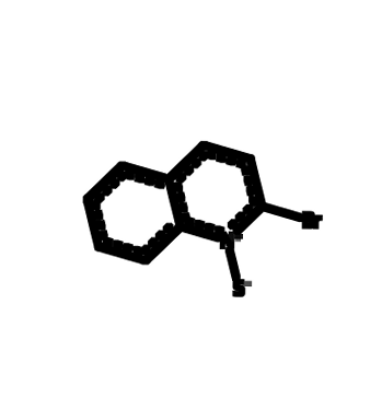 [S-][n+]1c(Br)ccc2ccccc21